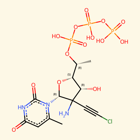 Cc1cc(=O)[nH]c(=O)n1[C@@H]1O[C@H]([C@@H](C)OP(=O)(O)OP(=O)(O)OP(=O)(O)O)[C@H](O)C1(N)C#CCl